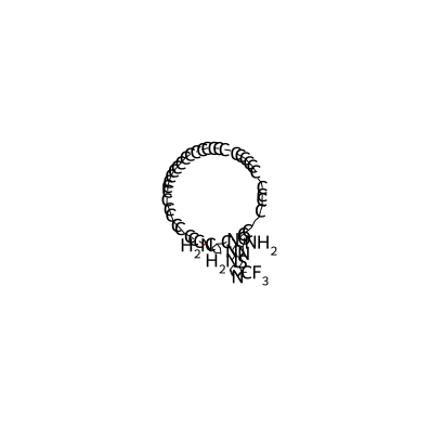 NC(=O)c1nc(Sc2cccnc2C(F)(F)F)c(N)nc1N1CCCCCCCCCCCCCCCCCCCCCCCCCCCCCCCCCCCCCCCCCCCCCCCCC2(CCCC2N)CC1